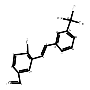 O=Cc1ccc(F)c(/C=C/c2cccc(C(F)(F)F)c2)c1